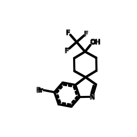 OC1(C(F)(F)F)CCC2(C=Nc3ccc(Br)cc32)CC1